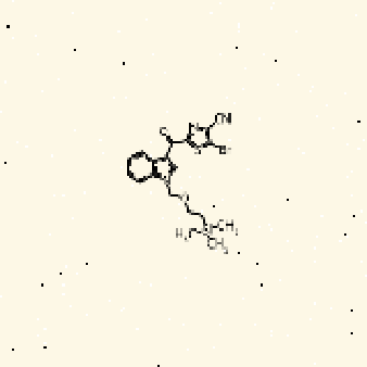 C[Si](C)(C)CCOCn1cc(C(=O)c2nc(C#N)c(Br)s2)c2ccccc21